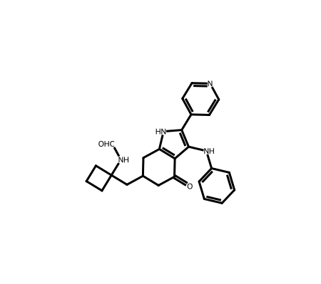 O=CNC1(CC2CC(=O)c3c([nH]c(-c4ccncc4)c3Nc3ccccc3)C2)CCC1